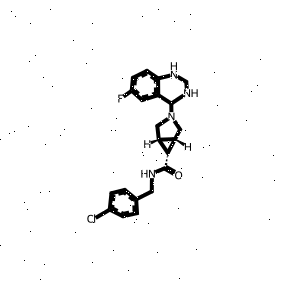 O=C(NCc1ccc(Cl)cc1)[C@@H]1[C@@H]2CN(C3NCNc4ccc(F)cc43)C[C@@H]21